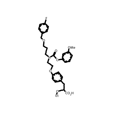 CCOC(Cc1ccc(OCCN(CCCOCc2ccc(F)cc2)C(=O)Oc2cccc(OC)c2)cc1)C(=O)O